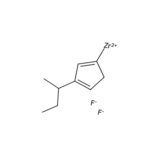 CCC(C)C1=CC[C]([Zr+2])=C1.[F-].[F-]